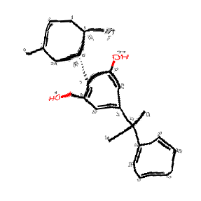 CC1=CC[C@@H](C(C)C)[C@H](c2c(O)cc(C(C)(C)c3ccccc3)cc2O)C1